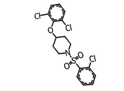 O=S(=O)(c1ccccc1Cl)N1CCC(Oc2c(Cl)cccc2Cl)CC1